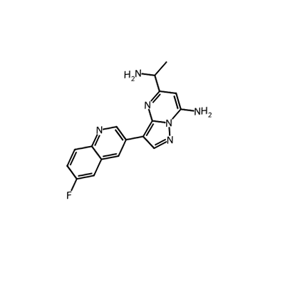 CC(N)c1cc(N)n2ncc(-c3cnc4ccc(F)cc4c3)c2n1